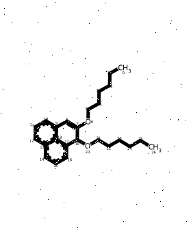 CCCCCCOC1=Cc2cccc3cccc(c23)C1OCCCCCC